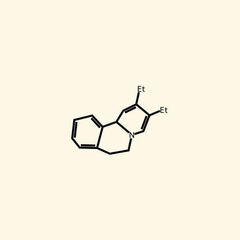 CCC1=CC2c3ccccc3CCN2C=C1CC